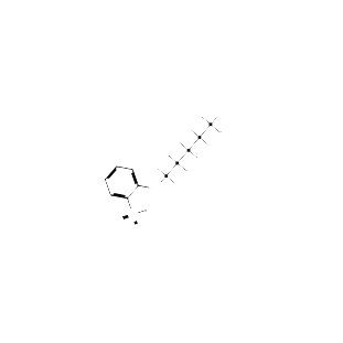 O=S(=O)(F)c1ccccc1OC(F)(F)C(F)(F)C(F)(F)C(F)(F)C(F)(F)C(F)(F)F